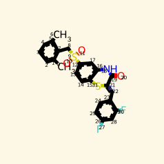 Cc1cccc(C)c1CS(=O)(=O)c1ccc2c(c1)NC(=O)/C(=C/c1ccc(F)cc1F)S2